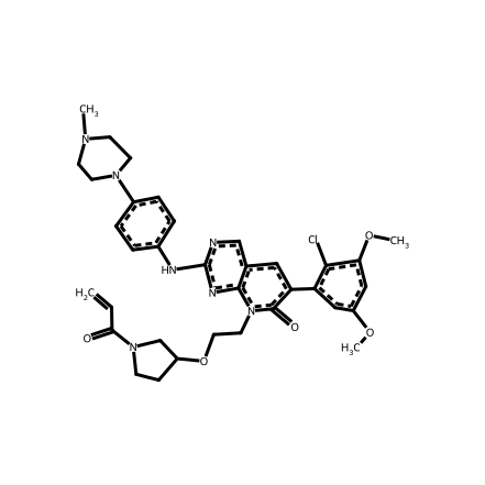 C=CC(=O)N1CCC(OCCn2c(=O)c(-c3cc(OC)cc(OC)c3Cl)cc3cnc(Nc4ccc(N5CCN(C)CC5)cc4)nc32)C1